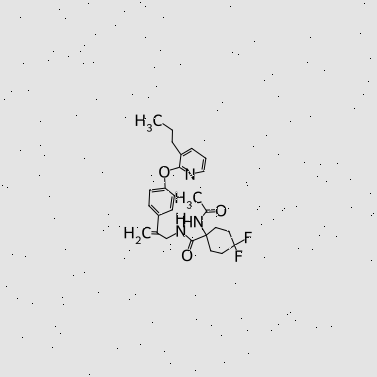 C=C(CNC(=O)C1(NC(C)=O)CCC(F)(F)CC1)c1ccc(Oc2ncccc2CCC)cc1